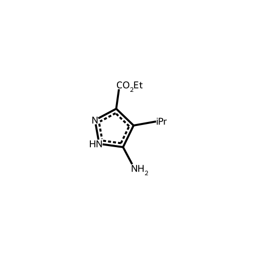 CCOC(=O)c1n[nH]c(N)c1C(C)C